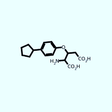 NC(C(=O)O)C(CC(=O)O)Oc1ccc(C2CCCC2)cc1